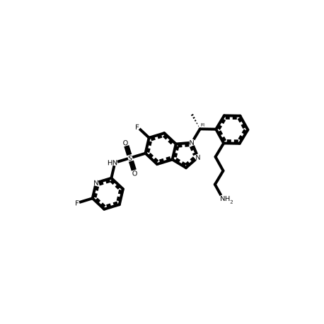 C[C@H](c1ccccc1CCCN)n1ncc2cc(S(=O)(=O)Nc3cccc(F)n3)c(F)cc21